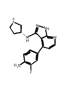 Nc1ccc(-c2ccnc3[nH]nc(N[C@@H]4CCNC4)c23)cc1F